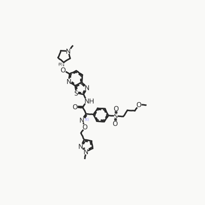 COCCCS(=O)(=O)c1ccc(/C(=N\OCc2ccn(C)n2)C(=O)Nc2nc3ccc(O[C@@H]4CCN(C)C4)nc3s2)cc1